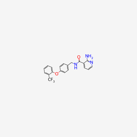 Nc1ncccc1C(=O)NCc1ccc(Oc2ccccc2C(F)(F)F)cc1